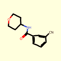 N#Cc1cccc(C(=O)NC2CCOCC2)c1